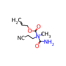 C=CCOC(=O)[N+](C)(CCC#N)C(N)=O